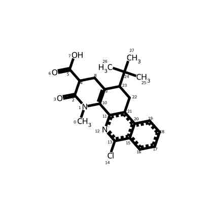 CN1C(=O)C(C(=O)O)CC2=C1c1nc(Cl)c3ccccc3c1CC2C(C)(C)C